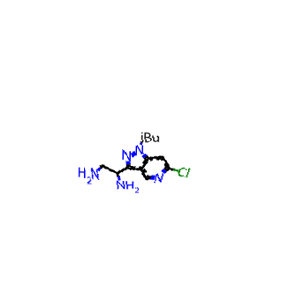 CCC(C)n1nc(C(N)CN)c2cnc(Cl)cc21